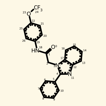 O=C(Cn1c(-c2ccccc2)nc2ccccc21)Nc1ccc(OC(F)(F)F)cc1